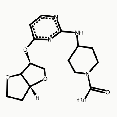 CC(C)(C)C(=O)N1CCC(Nc2nccc(O[C@H]3CO[C@@H]4CCOC34)n2)CC1